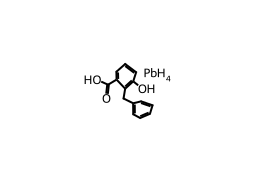 O=C(O)c1cccc(O)c1Cc1ccccc1.[PbH4]